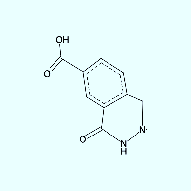 O=C(O)c1ccc2c(c1)C(=O)N[N]C2